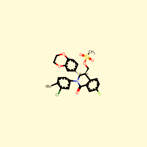 CC(C)(C)c1ccc(N2C(=O)c3cc(F)ccc3[C@H](COS(C)(=O)=O)[C@H]2c2ccc3c(c2)OCCO3)cc1Cl